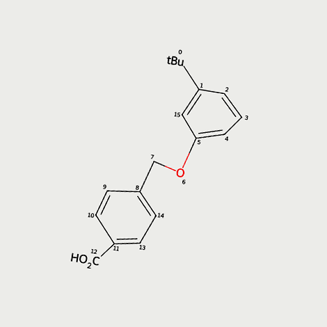 CC(C)(C)c1cccc(OCc2ccc(C(=O)O)cc2)c1